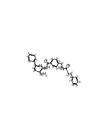 Nc1ccc(-c2ccccc2)nc1NC(=O)c1ccc(CNC(=O)CCc2ccccc2)cc1